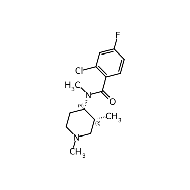 C[C@@H]1CN(C)CC[C@@H]1N(C)C(=O)c1ccc(F)cc1Cl